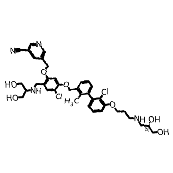 Cc1c(COc2cc(OCc3cncc(C#N)c3)c(CNC(CO)CO)cc2Cl)cccc1-c1cccc(OCCCNC[C@H](O)CO)c1Cl